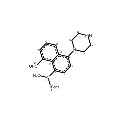 CCCC(C)N(C)c1ccc(N2CCNCC2)c2cccc(C=O)c12